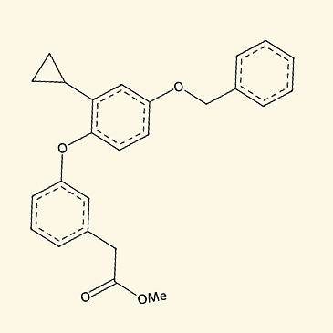 COC(=O)Cc1cccc(Oc2ccc(OCc3ccccc3)cc2C2CC2)c1